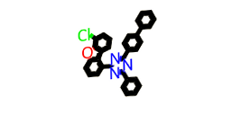 Clc1cccc2c1oc1cccc(-c3nc(-c4ccccc4)nc(-c4ccc(-c5ccccc5)cc4)n3)c12